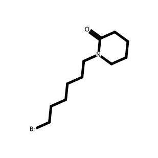 O=C1CCCCN1CCCCCCBr